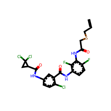 C=CCSCC(=O)Nc1c(F)ccc(NC(=O)c2cc(NC(=O)C3CC3(Cl)Cl)ccc2Cl)c1F